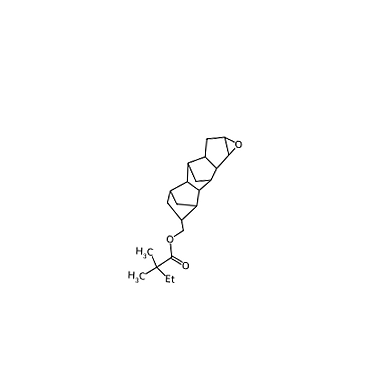 CCC(C)(C)C(=O)OCC1CC2CC1C1C3CC(C4CC5OC5C43)C21